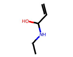 C=CC(O)N[CH]C